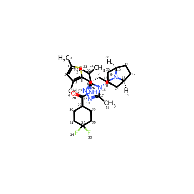 Cc1cc(C)c([C@H](CCN2[C@@H]3CC[C@H]2C[C@H](n2c(C)nnc2C(C)C)C3)NC(=O)C2CCC(F)(F)CC2)s1